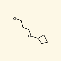 ClCCCNC1CCC1